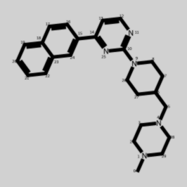 CN1CCN(CC2CCN(c3nccc(-c4ccc5ccccc5c4)n3)CC2)CC1